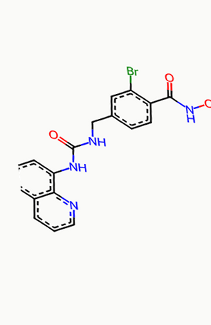 O=C(NCc1ccc(C(=O)NO)c(Br)c1)Nc1cccc2cccnc12